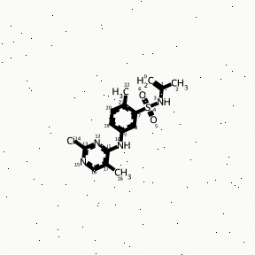 C=C(C)NS(=O)(=O)c1cc(Nc2nc(Cl)ncc2C)ccc1C